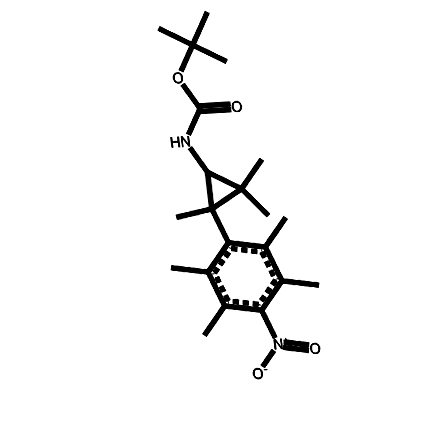 Cc1c(C)c(C2(C)C(NC(=O)OC(C)(C)C)C2(C)C)c(C)c(C)c1[N+](=O)[O-]